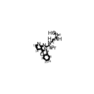 CB(O)NCCN[C@H](c1nc2ncccc2c(=O)n1Cc1ccccc1)C(C)C